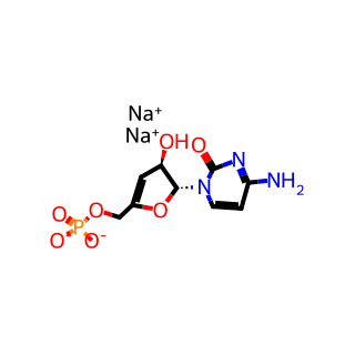 Nc1ccn([C@@H]2OC(COP(=O)([O-])[O-])=C[C@H]2O)c(=O)n1.[Na+].[Na+]